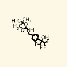 CC(C)(C)OC(=O)NCc1ccc(C(O)(C(F)F)C(F)F)cc1